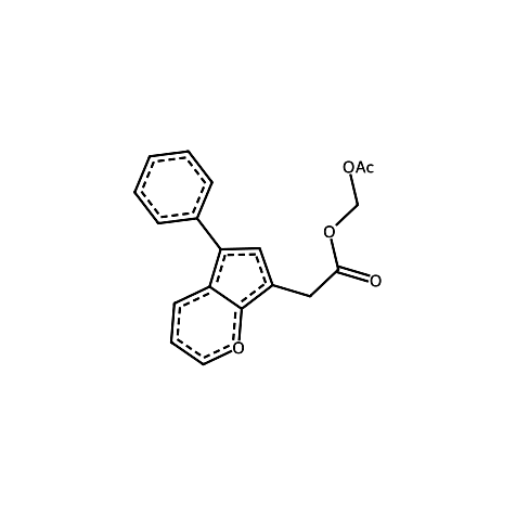 CC(=O)OCOC(=O)Cc1cc(-c2ccccc2)c2cccoc1-2